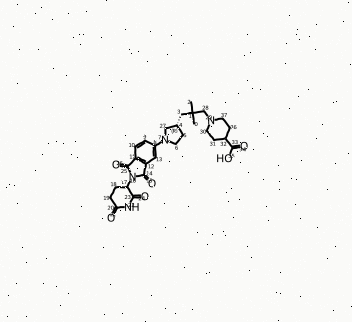 CC(C)(C[C@@H]1CCN(c2ccc3c(c2)C(=O)N(C2CCC(=O)NC2=O)C3=O)C1)CN1CCC(C(=O)O)CC1